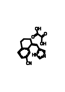 N#Cc1ccc2c(c1)/C(=C\c1cnc[nH]1)CCC2.O=C(O)C(=O)O